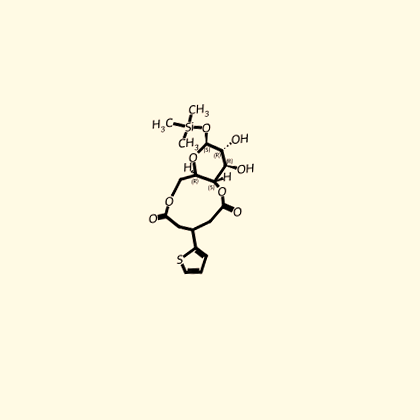 C[Si](C)(C)O[C@@H]1O[C@@H]2COC(=O)CC(c3cccs3)CC(=O)O[C@H]2[C@H](O)[C@H]1O